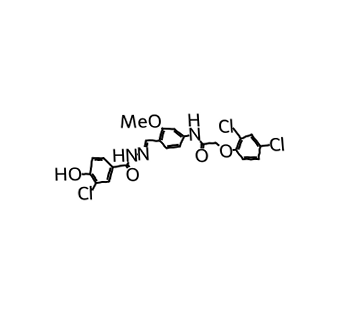 COc1cc(NC(=O)COc2ccc(Cl)cc2Cl)ccc1C=NNC(=O)c1ccc(O)c(Cl)c1